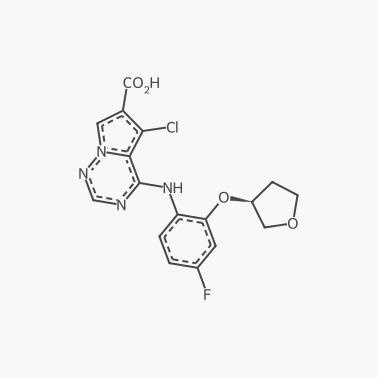 O=C(O)c1cn2ncnc(Nc3ccc(F)cc3O[C@H]3CCOC3)c2c1Cl